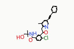 Cc1cc(C#Cc2ccccc2)cnc1CC(=O)c1cc(C(=O)NC(C)(C)CO)ccc1Cl